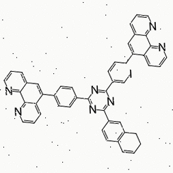 I/C=C(\C=C/Cc1cc2cccnc2c2ncccc12)c1nc(-c2ccc(-c3cc4cccnc4c4ncccc34)cc2)nc(-c2ccc3c(c2)CCC=C3)n1